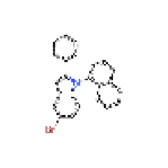 Brc1ccc2c(c1)cc(-c1ccccc1)n2-c1cccc2ccccc12